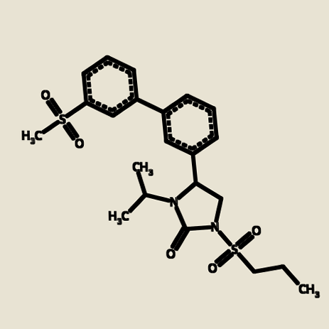 CCCS(=O)(=O)N1CC(c2cccc(-c3cccc(S(C)(=O)=O)c3)c2)N(C(C)C)C1=O